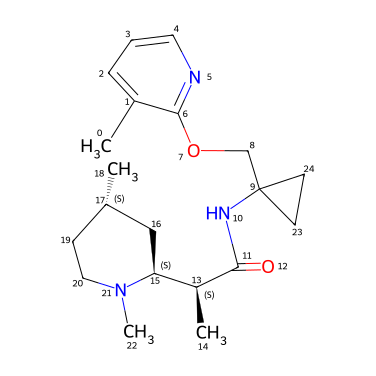 Cc1cccnc1OCC1(NC(=O)[C@@H](C)[C@@H]2C[C@@H](C)CCN2C)CC1